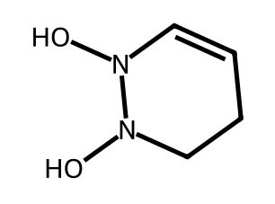 ON1C=CCCN1O